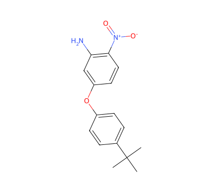 CC(C)(C)c1ccc(Oc2ccc([N+](=O)[O-])c(N)c2)cc1